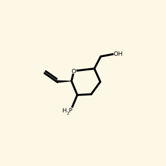 C=C[C@H]1OC(CO)CCC1P